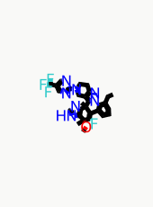 CCc1cccc2c1-n1nc3c(c1C1(C)C2=C(F)C(C)(OC)c2[nH]cnc21)CN(c1ncc(C(F)(F)F)cn1)CC3